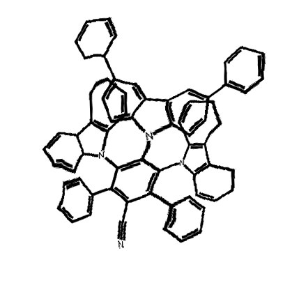 N#Cc1c(-c2ccccc2)c(N2C3=C(CCC=C3)C3C=CC=CC32)c(-n2c3ccc(-c4ccccc4)cc3c3cc(C4C=CC=CC4)ccc32)c(-n2c3c(c4c2C=CCC4)CCC=C3)c1-c1ccccc1